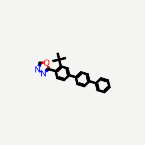 CC(C)(C)c1cc(-c2ccc(-c3ccccc3)cc2)ccc1-c1nnco1